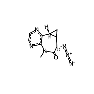 CN1C(=O)[C@@H](N=[N+]=[N-])C2C[C@H]2c2nccnc21